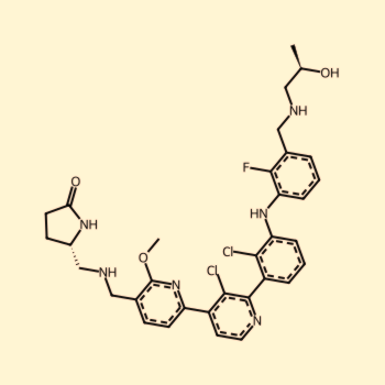 COc1nc(-c2ccnc(-c3cccc(Nc4cccc(CNC[C@@H](C)O)c4F)c3Cl)c2Cl)ccc1CNC[C@@H]1CCC(=O)N1